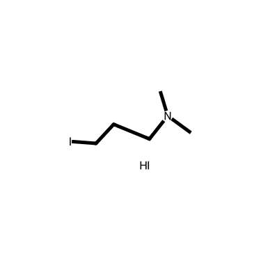 CN(C)CCCI.I